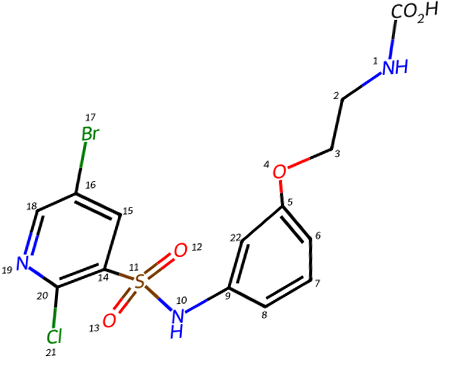 O=C(O)NCCOc1cccc(NS(=O)(=O)c2cc(Br)cnc2Cl)c1